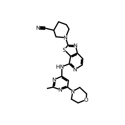 Cc1nc(Nc2nccc3nc(N4CCCC(C#N)C4)sc23)cc(N2CCOCC2)n1